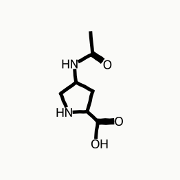 CC(=O)NC1CNC(C(=O)O)C1